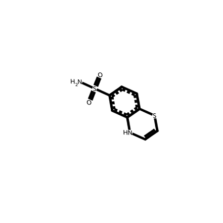 NS(=O)(=O)c1ccc2c(c1)NC=CS2